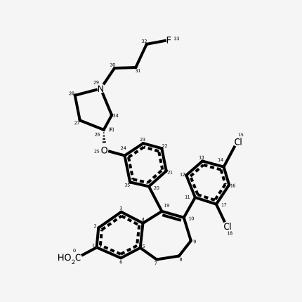 O=C(O)c1ccc2c(c1)CCCC(c1ccc(Cl)cc1Cl)=C2c1cccc(O[C@@H]2CCN(CCCF)C2)c1